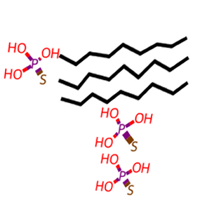 CCCCCCCCC.CCCCCCCCC.CCCCCCCCC.OP(O)(O)=S.OP(O)(O)=S.OP(O)(O)=S